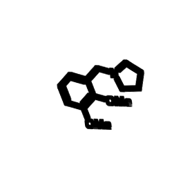 COc1cccc(CN2CCCC2)c1OC